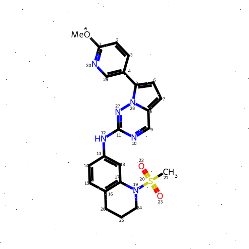 COc1ccc(-c2ccc3cnc(Nc4ccc5c(c4)N(S(C)(=O)=O)CCC5)nn23)cn1